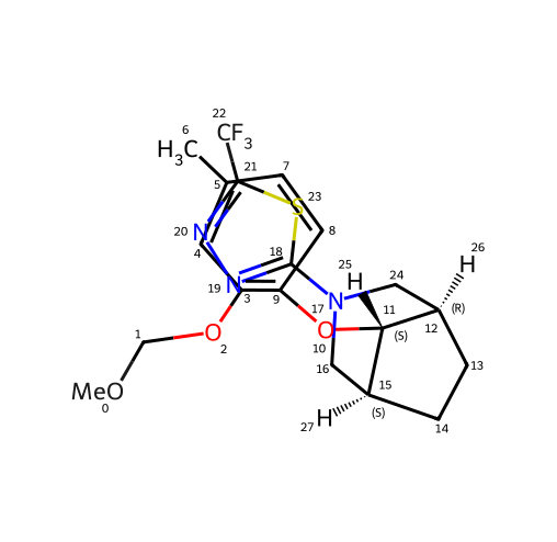 COCOc1cc(C)ccc1O[C@@H]1[C@@H]2CC[C@H]1CN(c1nnc(C(F)(F)F)s1)C2